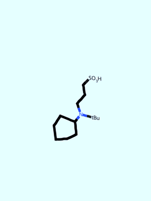 CC(C)(C)N(CCCS(=O)(=O)O)C1CCCCC1